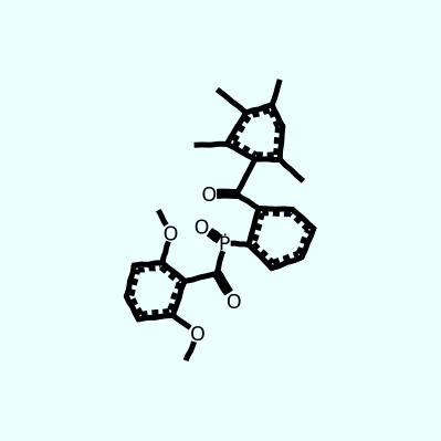 COc1cccc(OC)c1C(=O)[P](=O)c1ccccc1C(=O)c1c(C)cc(C)c(C)c1C